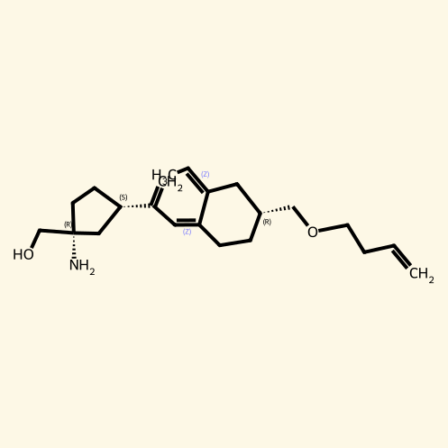 C=CCCOC[C@@H]1CCC(=C/C(=C)[C@H]2CC[C@](N)(CO)C2)/C(=C\C)C1